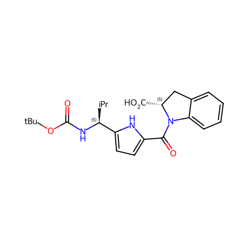 CC(C)[C@H](NC(=O)OC(C)(C)C)c1ccc(C(=O)N2c3ccccc3C[C@H]2C(=O)O)[nH]1